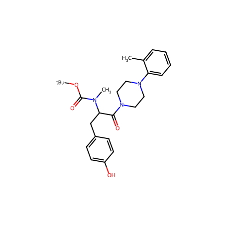 Cc1ccccc1N1CCN(C(=O)C(Cc2ccc(O)cc2)N(C)C(=O)OC(C)(C)C)CC1